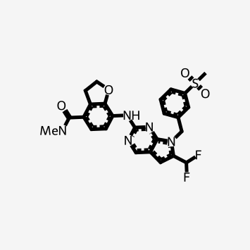 CNC(=O)c1ccc(Nc2ncc3cc(C(F)F)n(Cc4cccc(S(C)(=O)=O)c4)c3n2)c2c1CCO2